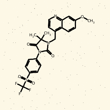 COc1ccc2c(CN3C(=O)N(c4ccc(S(=O)(=O)C(F)(F)F)cc4)C(=O)C3(C)C)ccnc2c1